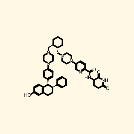 O=C1CCC(NC(=O)c2ccc(N3CCN(C[C@H]4CCCC[C@@H]4CN4CCN(c5ccc([C@@H]6c7ccc(O)cc7CC[C@@H]6c6ccccc6)cc5)CC4)CC3)cn2)C(=O)N1